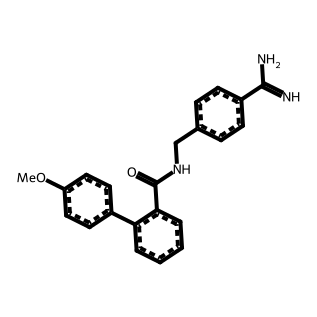 COc1ccc(-c2ccccc2C(=O)NCc2ccc(C(=N)N)cc2)cc1